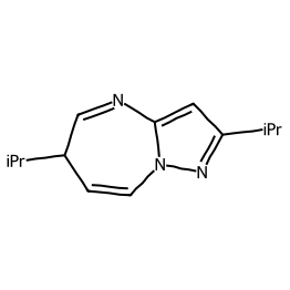 CC(C)c1cc2n(n1)C=CC(C(C)C)C=N2